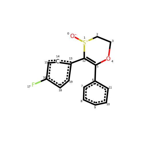 [O-][S+]1CCOC(c2ccccc2)=C1c1ccc(F)cc1